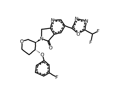 O=C1c2cc(-c3nnc(C(F)F)o3)cnc2CN1[C@@H]1COCC[C@H]1Oc1cccc(F)c1